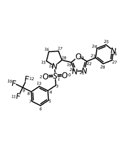 O=S(=O)(Cc1cccc(C(F)(F)F)c1)N1CCCC1c1nnc(-c2ccncc2)o1